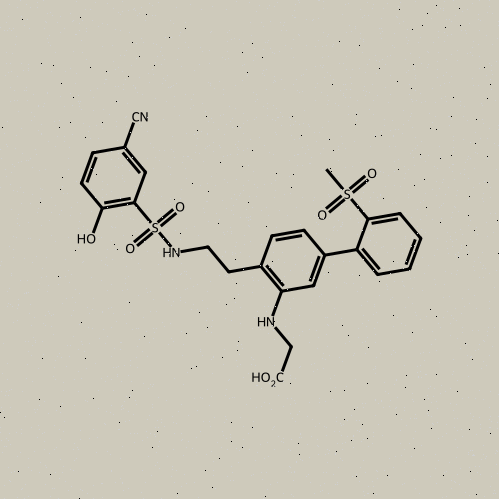 CS(=O)(=O)c1ccccc1-c1ccc(CCNS(=O)(=O)c2cc(C#N)ccc2O)c(NCC(=O)O)c1